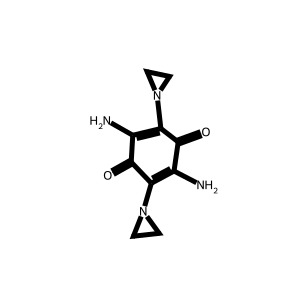 NC1=C(N2CC2)C(=O)C(N)=C(N2CC2)C1=O